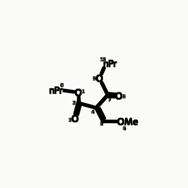 CCCOC(=O)C(=COC)C(=O)OCCC